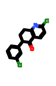 O=C1c2ccc(Cl)nc2CCC1c1cccc(Cl)c1